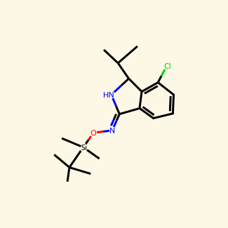 CC(C)C1NC(=NO[Si](C)(C)C(C)(C)C)c2cccc(Cl)c21